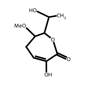 COC1CC=C(O)C(=O)OC1C(C)O